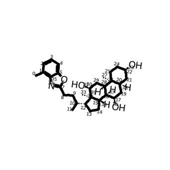 Cc1cccc2oc(CCC(C)[C@H]3CC[C@H]4[C@@H]5[C@H](O)C[C@@H]6C[C@H](O)CC[C@]6(C)[C@H]5C[C@H](O)[C@]34C)nc12